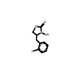 CCCN1C(=O)OCC1Cc1ccccc1F